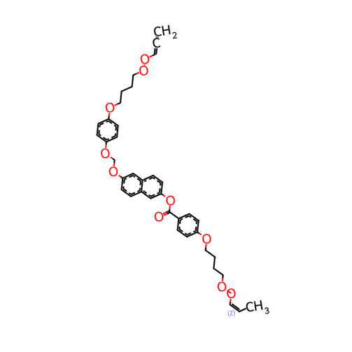 C=C=COOCCCCOc1ccc(OCOc2ccc3cc(OC(=O)c4ccc(OCCCCOO/C=C\C)cc4)ccc3c2)cc1